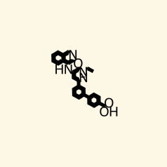 CCn1nc(-c2cccc(-c3ccc(C(=O)O)cc3)c2)cc(Nc2cncc3ccccc23)c1=O